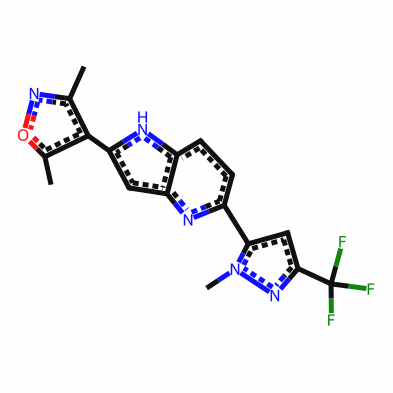 Cc1noc(C)c1-c1cc2nc(-c3cc(C(F)(F)F)nn3C)ccc2[nH]1